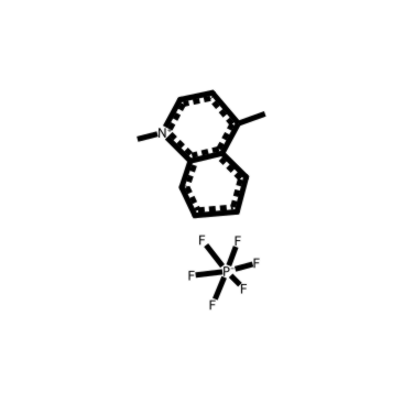 Cc1cc[n+](C)c2ccccc12.F[P-](F)(F)(F)(F)F